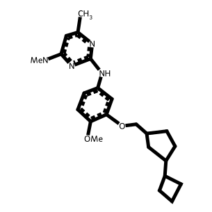 CNc1cc(C)nc(Nc2ccc(OC)c(OCC3CCC(C4CCC4)C3)c2)n1